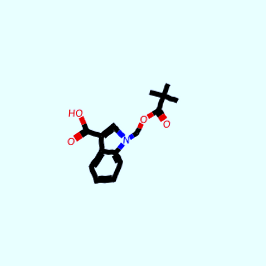 CC(C)(C)C(=O)OCn1cc(C(=O)O)c2ccccc21